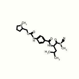 CC(C)CC(NC(=O)c1ccc(NC(=O)OCC2CCCN2C)cc1)C(=O)N(C)C#N